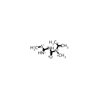 CSC(=N)NC(=O)N(C)C(C)C